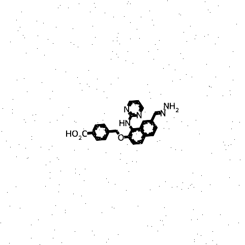 NN=Cc1ccc2ccc(OCc3ccc(C(=O)O)cc3)c(Nc3ncccn3)c2c1